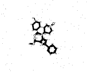 COC(=O)c1sc(-c2ccccc2)cc1N(C(=O)[C@H]1CC[C@H](C)CC1)C1CC[S+]([O-])CC1